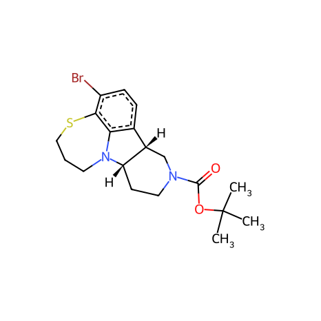 CC(C)(C)OC(=O)N1CC[C@H]2[C@@H](C1)c1ccc(Br)c3c1N2CCCS3